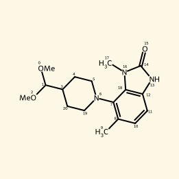 COC(OC)C1CCN(c2c(C)ccc3[nH]c(=O)n(C)c23)CC1